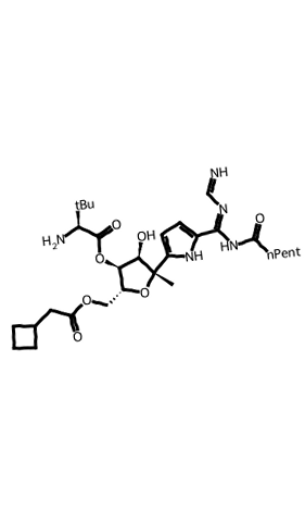 CCCCCC(=O)N/C(=N/C=N)c1ccc([C@]2(C)O[C@H](COC(=O)CC3CCC3)[C@@H](OC(=O)[C@@H](N)C(C)(C)C)[C@H]2O)[nH]1